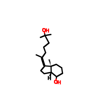 C/C(CCCC(C)(C)O)=C1\CC[C@H]2C(O)CCC[C@]12C